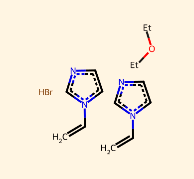 Br.C=Cn1ccnc1.C=Cn1ccnc1.CCOCC